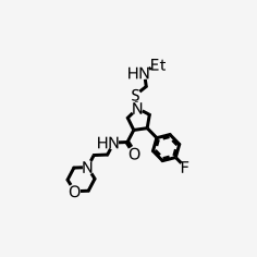 CCNCSN1CC(C(=O)NCCN2CCOCC2)C(c2ccc(F)cc2)C1